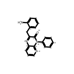 Nc1ccccc1Cc1nc2cccnc2n(-c2ccccc2)c1=O